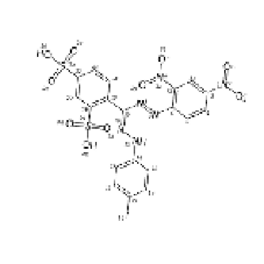 O=[N+]([O-])c1ccc(N=NC(=NNc2ccc(I)cc2)c2ccc(S(=O)(=O)O)cc2S(=O)(=O)O)c([N+](=O)[O-])c1